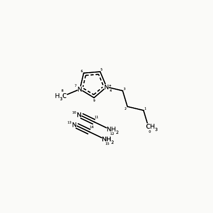 CCCC[n+]1ccn(C)c1.N#CN.N#CN